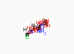 CC(=Cc1ccc(O[C@@H]2O[C@H](C(C)=NOCc3cccc(Cl)c3)[C@@H](O)[C@]2(C)O)c(N)c1)C(=O)N[C@@H]1[C@H](O)[C@@H](O)[C@H]2OCO[C@H]2[C@@H]1O